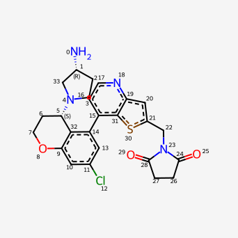 N[C@@H]1CCN([C@H]2CCOc3cc(Cl)cc(-c4ccnc5cc(CN6C(=O)CCC6=O)sc45)c32)C1